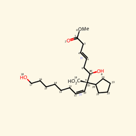 COC(=O)C/C=C/C[C@@H](O)[C@](/C=C\CCCCCCO)(C(=O)O)C1CCCC1